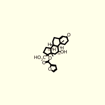 C[C@]12CCC(=O)C=C1CC[C@@H]1[C@@H]2[C@@H](O)C[C@@]2(C)[C@H]1CC[C@]2(OC(=O)c1ccco1)C(=O)O